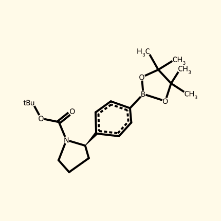 CC(C)(C)OC(=O)N1CCC[C@@H]1c1ccc(B2OC(C)(C)C(C)(C)O2)cc1